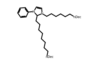 CCCCCCCCCCCCCCCCCCC1N(CCCCCCCCCCCCCCCC)C=CN1c1ccccc1